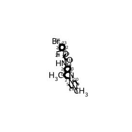 Cc1cc(N2CCN(C)CC2)nc2ccc(NC(=O)COc3ccc(Br)cc3F)cc12